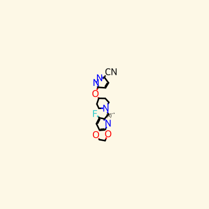 C[C@H](c1nc2c(cc1F)OCCO2)N1CCC(Oc2ccc(C#N)nn2)CC1